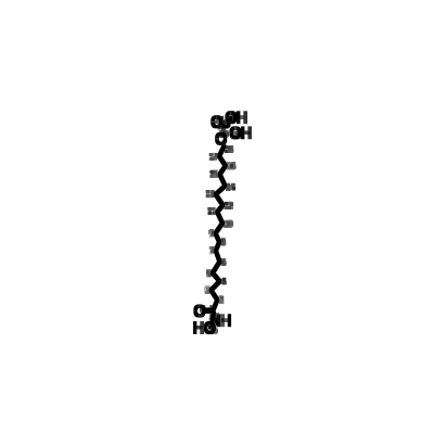 O=C(CCCCCCCCCCCCCCCCCOP(=O)(O)O)NO